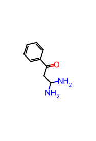 NC(N)CC(=O)c1ccccc1